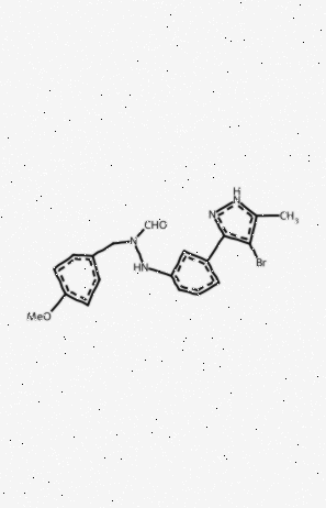 COc1ccc(CN(C=O)Nc2cccc(-c3n[nH]c(C)c3Br)c2)cc1